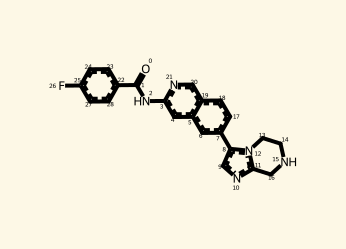 O=C(Nc1cc2cc(-c3cnc4n3CCNC4)ccc2cn1)c1ccc(F)cc1